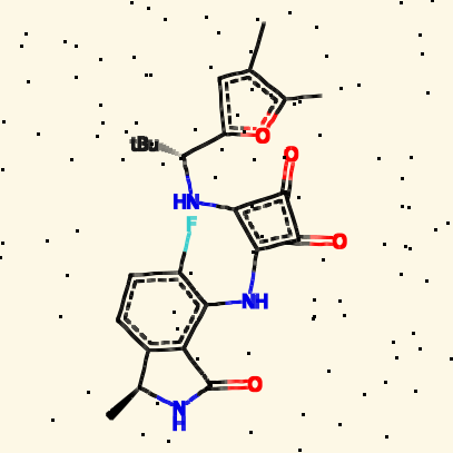 Cc1cc([C@H](Nc2c(Nc3c(F)ccc4c3C(=O)N[C@H]4C)c(=O)c2=O)C(C)(C)C)oc1C